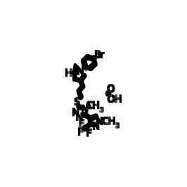 Cn1cc(-c2nnc(SCCCC3C[C@@H]4C[N@@+]4(c4ccc(Br)cc4)C3)n2C)c(C(F)(F)F)n1.O=CO